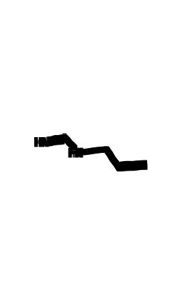 C=CCN[C]=N